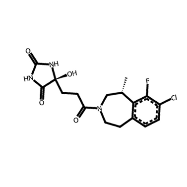 C[C@H]1CN(C(=O)CC[C@@]2(O)NC(=O)NC2=O)CCc2ccc(Cl)c(F)c21